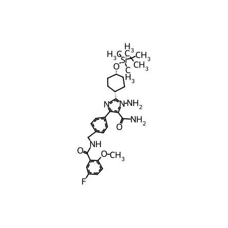 COc1ccc(F)cc1C(=O)NCc1ccc(-c2nc([C@H]3CC[C@@H](O[Si](C)(C)C(C)(C)C)CC3)n(N)c2C(N)=O)cc1